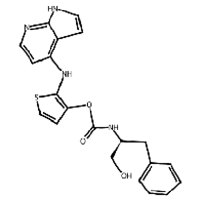 O=C(N[C@H](CO)Cc1ccccc1)Oc1ccsc1Nc1ccnc2[nH]ccc12